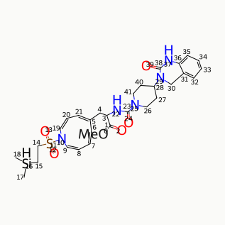 COC(=O)C(Cc1ccccn(S(=O)(=O)CC[SiH](C)C)ccc1)NC(=O)N1CCC(N2Cc3ccccc3NC2=O)CC1